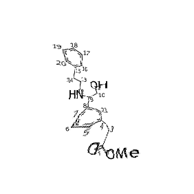 COC(=O)Cc1cccc(C(CO)NCCc2ccccc2)c1